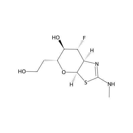 CNC1=N[C@@H]2[C@@H](F)[C@H](O)[C@@H](CCO)O[C@@H]2S1